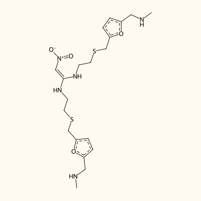 CNCc1ccc(CSCCNC(=C[N+](=O)[O-])NCCSCc2ccc(CNC)o2)o1